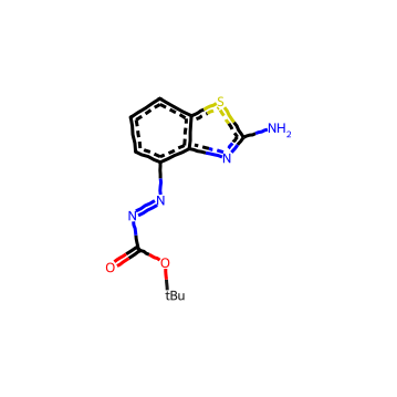 CC(C)(C)OC(=O)N=Nc1cccc2sc(N)nc12